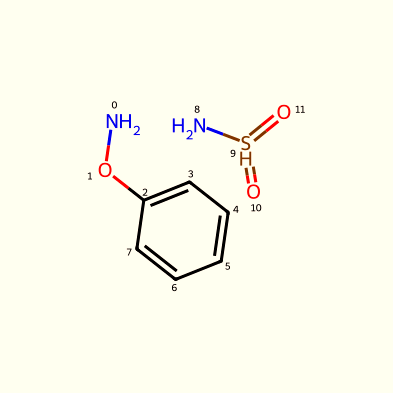 NOc1ccccc1.N[SH](=O)=O